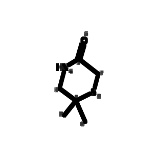 CC1(C)CNC(=O)CS1